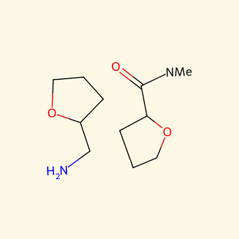 CNC(=O)C1CCCO1.NCC1CCCO1